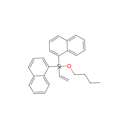 C=C[Si](OCCCC)(c1cccc2ccccc12)c1cccc2ccccc12